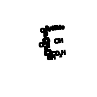 CNCCN(C)C(=O)OCc1ccc(N=Nc2ccc(O)c(C(=O)O)c2)c(Cl)c1.Cl